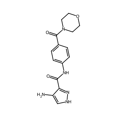 Nc1c[nH]nc1C(=O)Nc1ccc(C(=O)N2CCOCC2)cc1